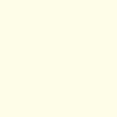 CN(C)CCC=C1c2ccccc2CCc2ccccc21.NCC(CC(=O)O)c1ccc(Cl)cc1